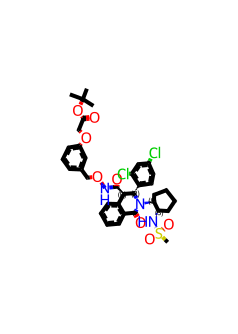 CC(C)(C)OC(=O)COc1cccc(CONC(=O)[C@@H]2c3ccccc3C(=O)N([C@H]3CCCC[C@@H]3NS(C)(=O)=O)[C@H]2c2ccc(Cl)cc2Cl)c1